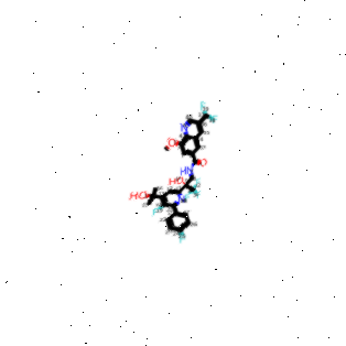 COc1cc(C(=O)NC[C@](O)(c2cc(C(C)(C)O)c(F)c(-c3ccc(F)cc3)n2)C(F)(F)F)cc2cc(C(F)F)cnc12